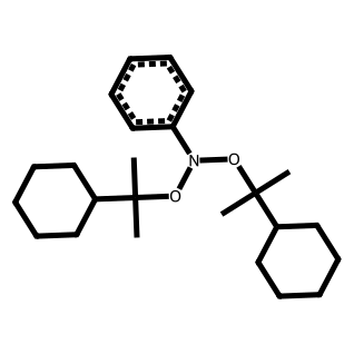 CC(C)(ON(OC(C)(C)C1CCCCC1)c1ccccc1)C1CCCCC1